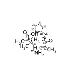 C=C(C(=O)O)C(C)(C)CCN.C=C(C)C(=O)OCc1ccccc1